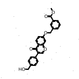 COC(=O)c1cccc(COc2ccc3c(=O)c(-c4ccc(CO)cc4)coc3c2)c1